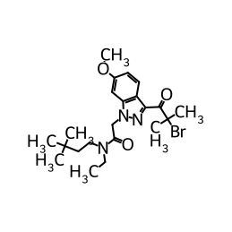 CCN(CCC(C)(C)C)C(=O)Cn1nc(C(=O)C(C)(C)Br)c2ccc(OC)cc21